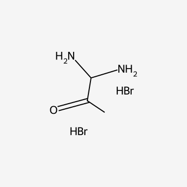 Br.Br.CC(=O)C(N)N